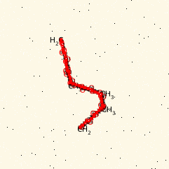 C=COCCCCOC(=O)CCCCC(=O)OCCCCOC(=O)OC(=O)CCCCC(=O)OC(C)COCCCCOC(=O)CCCCC(=O)OCCCCOC(C)OC(=O)CCCCC(=O)OC(C)OCCCCOC(=O)CCCCC(=O)OCCCCOC=C